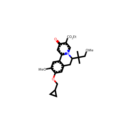 CCOC(=O)c1cn2c(cc1=O)-c1cc(OC)c(OCC3CC3)cc1CC2C(C)(C)COC